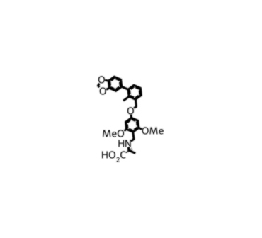 COc1cc(OCc2cccc(-c3ccc4c(c3)OCO4)c2C)cc(OC)c1CN[C@H](C)C(=O)O